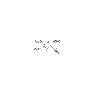 C#CC1(C=O)CC(OC)(OC)C1